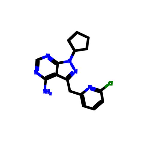 Nc1ncnc2c1c(Cc1cccc(Cl)n1)nn2C1CCCC1